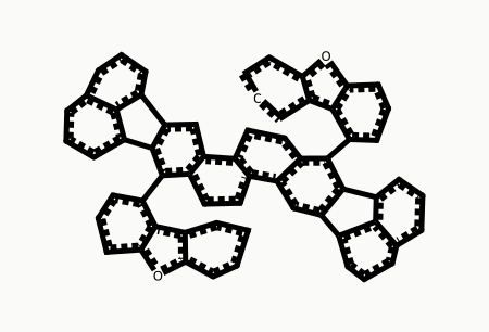 c1cc2c3c(cccc3c1)-c1c-2cc2c(ccc3c4cc5c(c(-c6cccc7oc8ccccc8c67)c4ccc23)-c2cccc3cccc-5c23)c1-c1cccc2oc3ccccc3c12